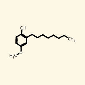 CCCCCCCCc1cc(OC)ccc1O